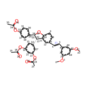 COc1cc(/C=C/c2ccc3c(c2)[C@H](c2cc(OC(C)=O)cc(OC(C)=O)c2)[C@@H](c2ccc(OC(C)=O)cc2)O3)cc(OC)c1